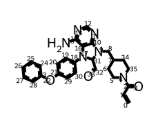 C=CC(=O)N1CCC(CN2c3ncnc(N)c3N(c3ccc(Oc4ccccc4)cc3)C2C=O)CC1